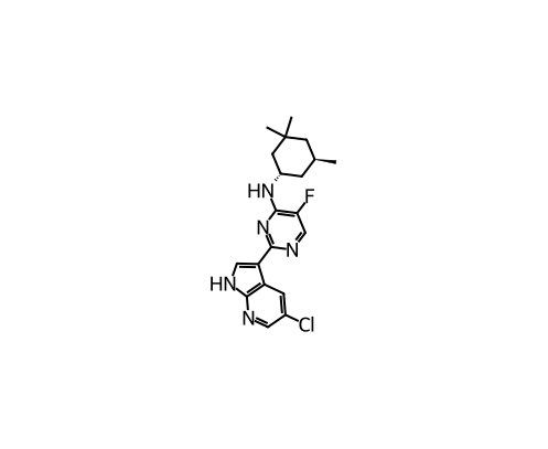 C[C@H]1C[C@H](Nc2nc(-c3c[nH]c4ncc(Cl)cc34)ncc2F)CC(C)(C)C1